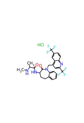 CNC(C)C(=O)NC1CCc2ccccc2N(Cc2cc(C(F)(F)F)nc3ccc(C(F)(F)F)cc23)C1=O.Cl